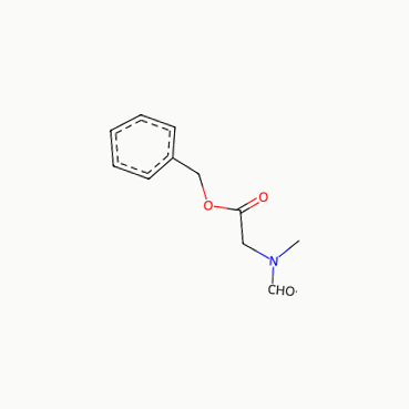 CN([C]=O)CC(=O)OCc1ccccc1